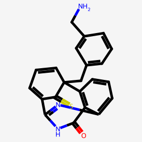 NCc1cccc(CC23C=CC=C(C2=S)c2nc4cccc3c4c(=O)[nH]2)c1